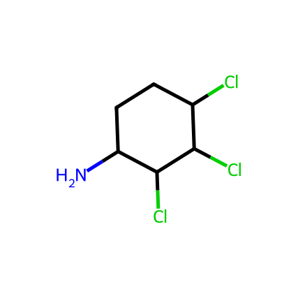 NC1CCC(Cl)C(Cl)C1Cl